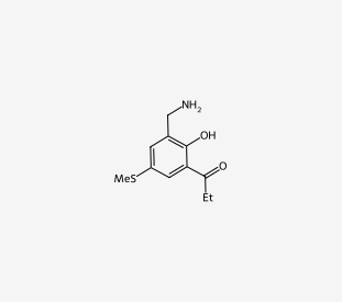 CCC(=O)c1cc(SC)cc(CN)c1O